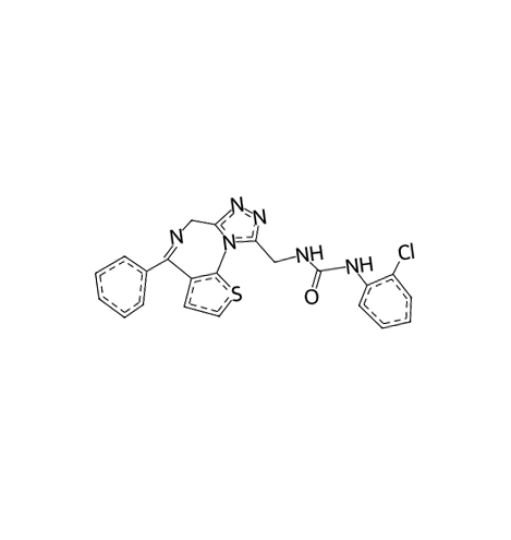 O=C(NCc1nnc2n1-c1sccc1C(c1ccccc1)=NC2)Nc1ccccc1Cl